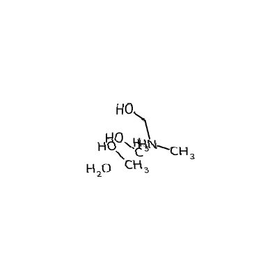 CNCO.CO.CO.O